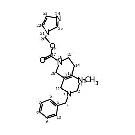 CN1CN(Cc2ccccc2)CC2=C1CCN(C(=O)OCn1ccnc1)C2